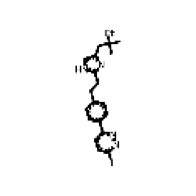 CCC(C)(C)Cc1c[nH]c(CCc2ccc(-c3ccc(I)nn3)cc2)n1